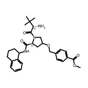 COC(=O)c1ccc(COC2C[C@@H](C(=O)NC3CCCc4ccccc43)N(C(=O)[C@@H](N)C(C)(C)C)C2)cc1